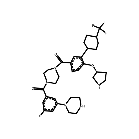 O=C(c1cc(F)cc(N2CCNCC2)c1)N1CCN(C(=O)c2ccc(O[C@H]3CCNC3)c(C3CCC(C(F)(F)F)CC3)c2)CC1